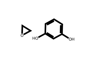 C1CO1.Oc1cccc(O)c1